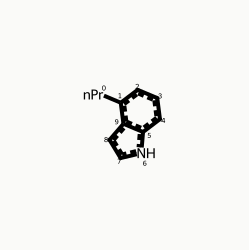 CCCc1cccc2[nH]ccc12